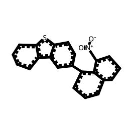 O=[N+]([O-])c1cccc2cccc(-c3ccc4sc5ccccc5c4c3)c12